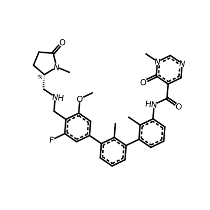 COc1cc(-c2cccc(-c3cccc(NC(=O)c4cncn(C)c4=O)c3C)c2C)cc(F)c1CNC[C@@H]1CCC(=O)N1C